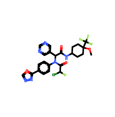 COC1(C(F)(F)F)CCC(NC(=O)C(c2cncnc2)N(C(=O)C(F)Cl)c2ccc(-c3nnco3)cc2)CC1